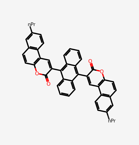 CCCc1ccc2c(ccc3oc(=O)c(-c4c5ccccc5c(-c5cc6c(ccc7cc(CCC)ccc76)oc5=O)c5ccccc45)cc32)c1